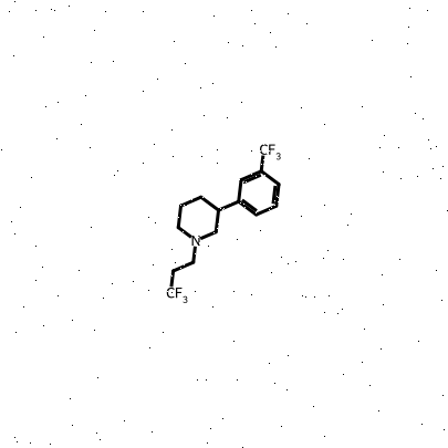 FC(F)(F)CCN1CCCC(c2cccc(C(F)(F)F)c2)C1